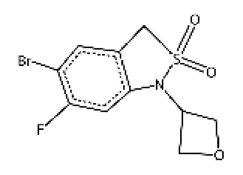 O=S1(=O)Cc2cc(Br)c(F)cc2N1C1COC1